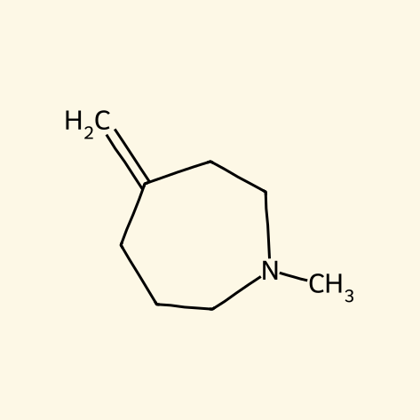 C=C1CCCN(C)CC1